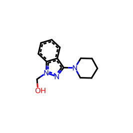 OCn1nc(N2CCCCC2)c2ccccc21